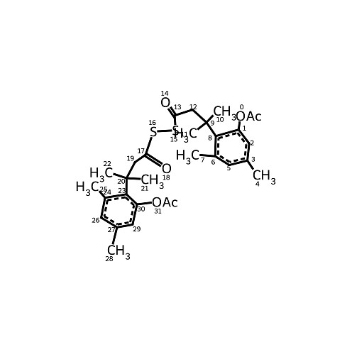 CC(=O)Oc1cc(C)cc(C)c1C(C)(C)CC(=O)SSC(=O)CC(C)(C)c1c(C)cc(C)cc1OC(C)=O